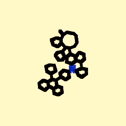 C=C1/C=C\C=C/C/C(c2ccc(N(c3ccc(-c4c(-c5ccccc5)c5ccccc5c5ccccc45)cc3)c3ccccc3-c3ccccc3)cc2)=C(/c2ccccc2)c2ccccc21